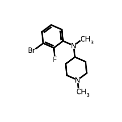 CN1CCC(N(C)c2cccc(Br)c2F)CC1